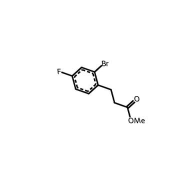 COC(=O)CCc1ccc(F)cc1Br